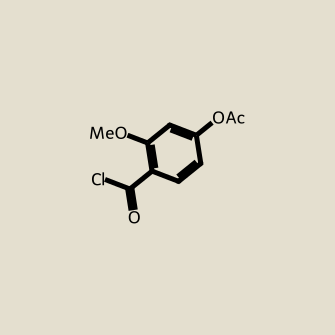 COc1cc(OC(C)=O)ccc1C(=O)Cl